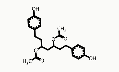 CC(=O)OC(CCc1ccc(O)cc1)CC(CCc1ccc(O)cc1)OC(C)=O